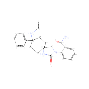 CCNC1(c2ccccc2)CCC2(CC1)CN(c1ccccc1C(N)=O)C(=O)N2